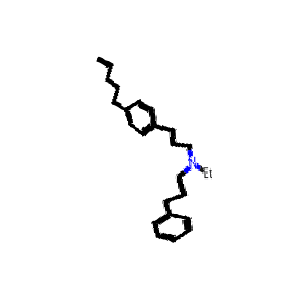 C=CCCCc1ccc(CCCN(CC)CCCc2ccccc2)cc1